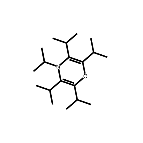 CC(C)C1=C(C(C)C)N(C(C)C)C(C(C)C)=C(C(C)C)O1